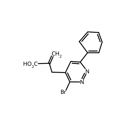 C=C(Cc1cc(-c2ccccc2)nnc1Br)C(=O)O